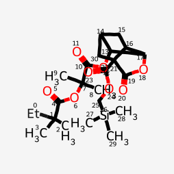 CCC(C)(C)C(=O)OC(C)(C)C(=O)OC1C2CC3C1OC(=O)C3(C(=O)OC[Si](C)(C)C)C2